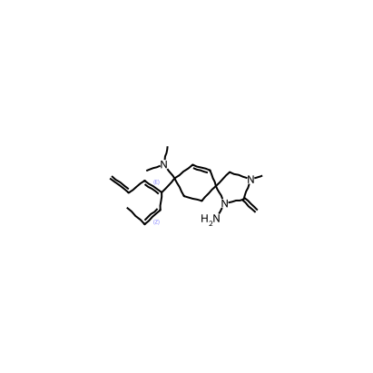 C=C/C=C(\C=C/C)C1(N(C)C)C=CC2(CC1)CN(C)C(=C)N2N